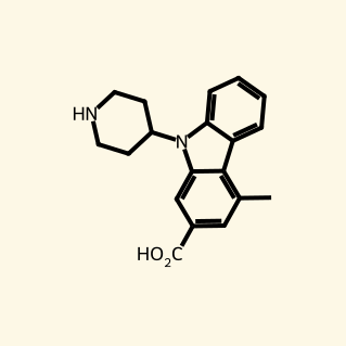 Cc1cc(C(=O)O)cc2c1c1ccccc1n2C1CCNCC1